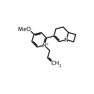 C=CC[n+]1ccc(OC)cc1C1=CN2CCC2CC1